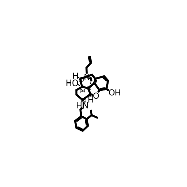 C=CCN1CC[C@]23c4c5ccc(O)c4O[C@H]2[C@H](NCc2ccccc2C(C)C)CC[C@@]3(O)[C@H]1C5